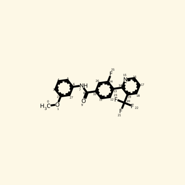 COc1cccc(NC(=O)c2ccc(-c3ncccc3C(F)(F)F)c(F)c2)c1